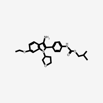 CCOc1ccc2c(N)c(-c3ccc(NC(=O)OCC(C)C)cc3)n(C3CCOC3)c2c1